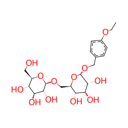 CCOc1ccc(CO[C@@H]2O[C@H](CO[C@@H]3O[C@H](CO)[C@@H](O)[C@H](O)[C@H]3O)[C@@H](O)[C@H](O)[C@H]2O)cc1